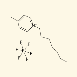 CCCCCCC[n+]1ccc(C)cc1.F[P-](F)(F)(F)(F)F